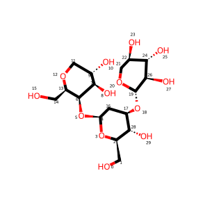 OC[C@H]1O[C@@H](O[C@@H]2[C@H](O)[C@@H](O)CO[C@@H]2CO)C[C@@H](O[C@@H]2OC[C@@H](O)[C@H](O)[C@H]2O)[C@@H]1O